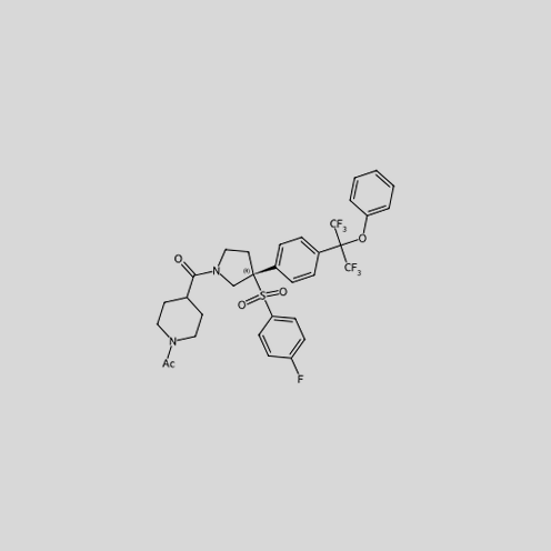 CC(=O)N1CCC(C(=O)N2CC[C@](c3ccc(C(Oc4ccccc4)(C(F)(F)F)C(F)(F)F)cc3)(S(=O)(=O)c3ccc(F)cc3)C2)CC1